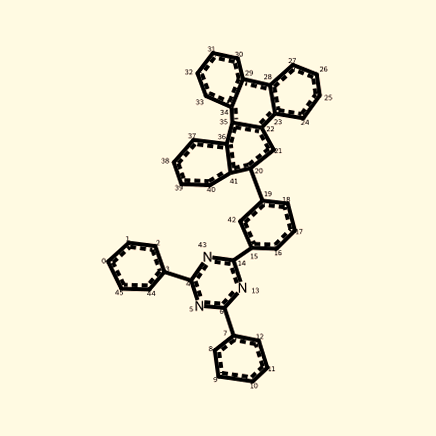 c1ccc(-c2nc(-c3ccccc3)nc(-c3cccc(-c4cc5c6ccccc6c6ccccc6c5c5ccccc45)c3)n2)cc1